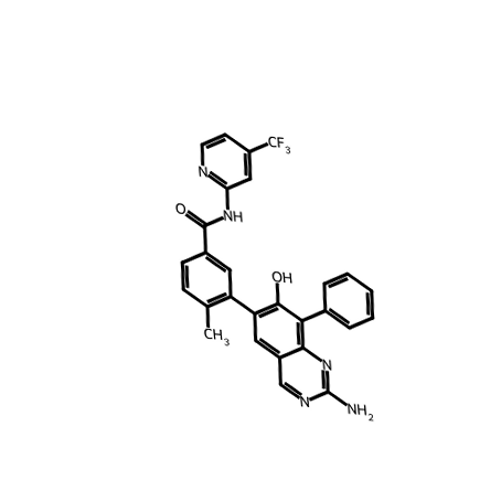 Cc1ccc(C(=O)Nc2cc(C(F)(F)F)ccn2)cc1-c1cc2cnc(N)nc2c(-c2ccccc2)c1O